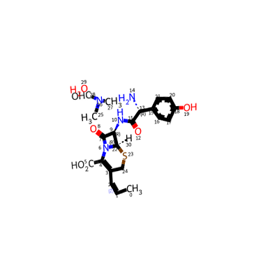 C/C=C\C1=C(C(=O)O)N2C(=O)[C@@H](NC(=O)[C@H](N)c3ccc(O)cc3)[C@H]2SC1.CN(C)C=O.O